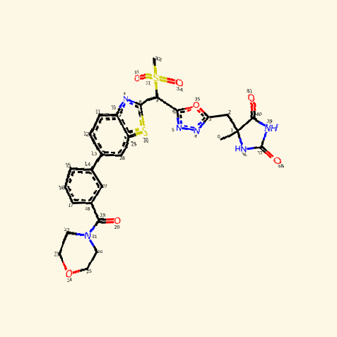 CC1(Cc2nnc(C(c3nc4ccc(-c5cccc(C(=O)N6CCOCC6)c5)cc4s3)S(C)(=O)=O)o2)NC(=O)NC1=O